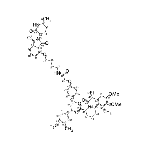 C=C1CCC(N2C(=O)c3cccc(OCCCCNC(=O)COc4ccc([C@@H](CCc5ccc(C)c(C)c5)OC(=O)[C@@H]5CCCCN5C(=O)[C@@H](CC)c5cc(C)c(OC)c(OC)c5)cc4)c3C2=O)C(=O)N1